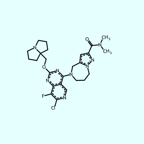 CN(C)C(=O)c1cc2n(n1)CCCN(c1nc(OCC34CCCN3CCC4)nc3c(F)c(Cl)ncc13)C2